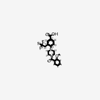 COc1ccccc1C(=O)N1CCN(c2ccc(C(=O)O)cc2CC(F)(F)F)CC1